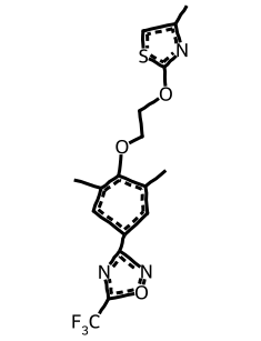 Cc1csc(OCCOc2c(C)cc(-c3noc(C(F)(F)F)n3)cc2C)n1